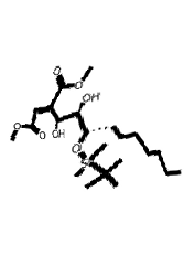 CCCCCCC[C@H](O[Si](C)(C)C(C)(C)C)[C@H](O)[C@@H](O)/C(=C\C(=O)OC)C(=O)OC